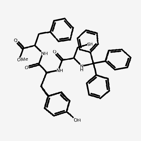 COC(=O)C(Cc1ccccc1)NC(=O)C(Cc1ccc(O)cc1)NC(=O)C(CS)NC(c1ccccc1)(c1ccccc1)c1ccccc1